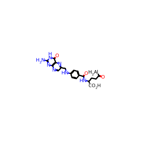 Nc1nc2ncc(CNc3ccc(C(=O)NC(CC[C](=O)[AlH2])C(=O)O)cc3)nc2c(=O)[nH]1